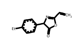 C=CC1=NC(c2ccc(CC)cc2)C(=O)O1